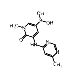 Cc1cc(Nc2cc(B(O)O)cn(C)c2=O)ncn1